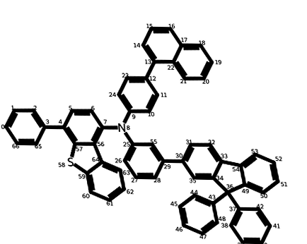 c1ccc(-c2ccc(N(c3ccc(-c4cccc5ccccc45)cc3)c3cccc(-c4ccc5c(c4)C(c4ccccc4)(c4ccccc4)c4ccccc4-5)c3)c3c2sc2ccccc23)cc1